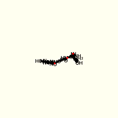 C#Cc1cnc(N2CCN(c3ncc(C(=O)NCCOCCOCCC(=O)NCCCCn4nc(-c5cc6cc(O)ccc6[nH]5)c5c(N)ncnc54)cn3)CC2)nc1